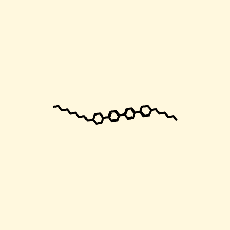 CCCCCCCCCC1CCC(c2ccc(-c3ccc(C4=CCC(CCCCCC)CC4)cc3)cc2)CC1